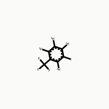 [2H]c1c([2H])c(I)c([2H])c(C(F)(F)F)c1[2H]